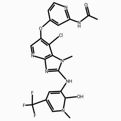 CC(=O)Nc1cc(Oc2cnc3nc(NC4=CC(C(F)(F)F)=CN(C)C4O)n(C)c3c2Cl)ccn1